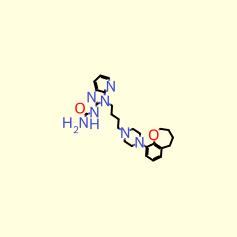 NC(=O)Nc1nc2cccnc2n1CCCCN1CCN(c2cccc3c2OCCCC3)CC1